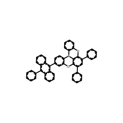 c1ccc(-c2cc(-c3ccccc3)c3c4c2Oc2ccccc2B4c2ccc(-c4c5ccccc5c(-c5ccccc5)c5ccccc45)cc2O3)cc1